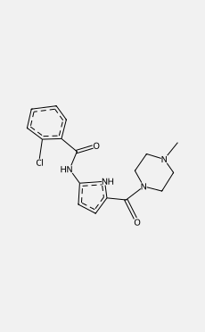 CN1CCN(C(=O)c2ccc(NC(=O)c3ccccc3Cl)[nH]2)CC1